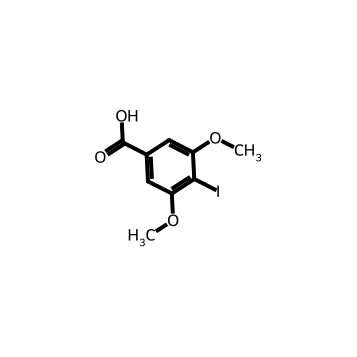 COc1cc(C(=O)O)cc(OC)c1I